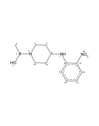 CB(O)N1CCC(Nc2ccccc2[N+](=O)[O-])CC1